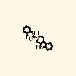 O=C(Nc1ccccc1F)N1CCc2c([nH]c3ccccc23)C1